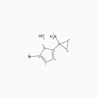 Cl.NC1(c2ccc(Br)s2)CC1